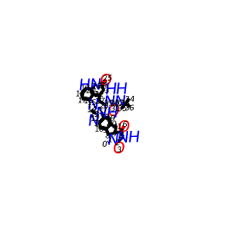 CN1C(=O)NC(=O)C12Cc1cc3nc(CN4c5cccc6c5C(CC(=O)N6)C4CNC(=O)NC(C)(C)C)[nH]c3cc1C2